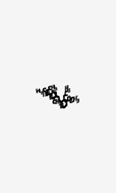 C=C(C)Nc1ncc(CCC2=NCCC(OC)=C2CC)c(C)n1